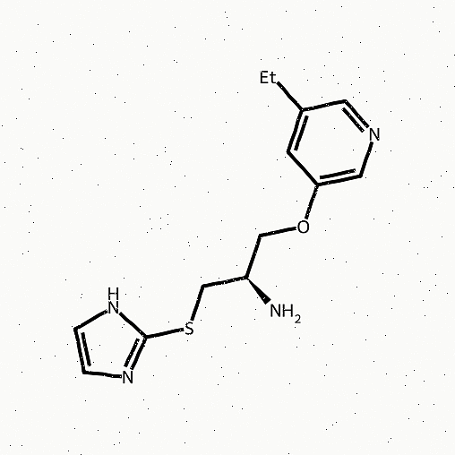 CCc1cncc(OC[C@@H](N)CSc2ncc[nH]2)c1